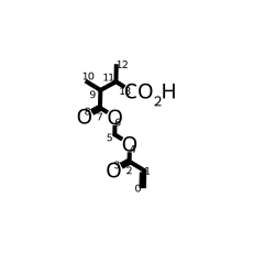 C=CC(=O)OCOC(=O)C(C)C(C)C(=O)O